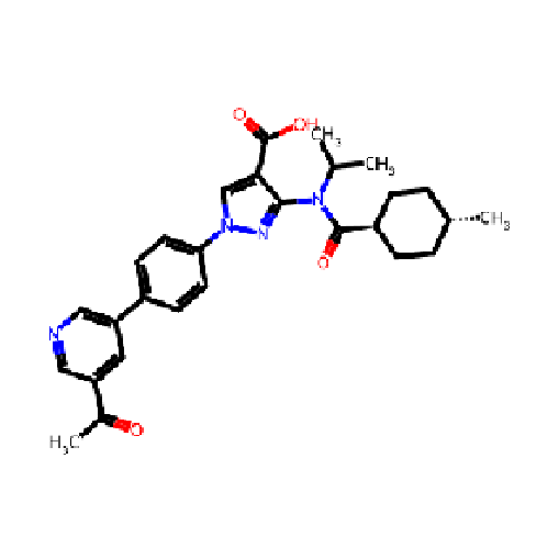 CC(=O)c1cncc(-c2ccc(-n3cc(C(=O)O)c(N(C(=O)[C@H]4CC[C@H](C)CC4)C(C)C)n3)cc2)c1